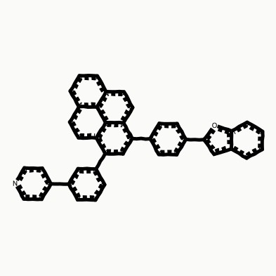 c1cc(-c2ccncc2)cc(-c2cc(-c3ccc(-c4cc5ccccc5o4)cc3)c3ccc4cccc5ccc2c3c45)c1